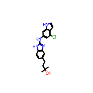 CC(C)(O)CCc1ccc2[nH]c(Nc3cc(Cl)c4cc[nH]c4c3)nc2c1